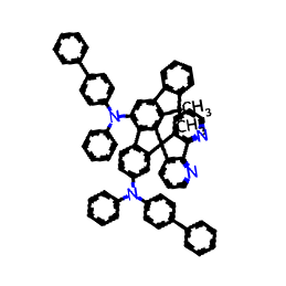 CC1(C)c2ccccc2-c2cc(N(c3ccccc3)c3ccc(-c4ccccc4)cc3)c3c(c21)C1(c2cc(N(c4ccccc4)c4ccc(-c5ccccc5)cc4)ccc2-3)c2cccnc2-c2ncccc21